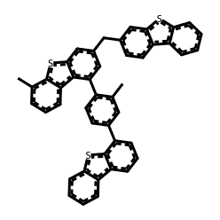 Cc1cc(-c2cccc3c2sc2ccccc23)ccc1-c1cc(Cc2ccc3c(c2)sc2ccccc23)cc2sc3c(C)cccc3c12